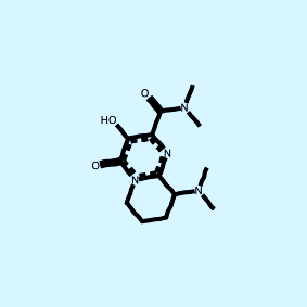 CN(C)C(=O)c1nc2n(c(=O)c1O)CCCC2N(C)C